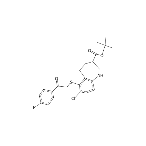 CC(C)(C)OC(=O)C1CCc2c(ccc(Cl)c2SCC(=O)c2ccc(F)cc2)NC1